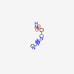 CNS(=O)(=O)c1cccc(C2CCN(Cc3cn(Cc4ccccn4)nn3)CC2)c1